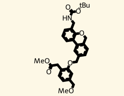 COCc1ccc(CC(=O)OC)c(OCc2ccc3c(c2)-c2cccc(CNC(=O)OC(C)(C)C)c2OC3)c1